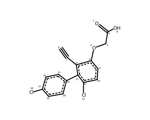 C#Cc1c(OCC(=O)O)ccc(Cl)c1-c1ccc(Cl)cc1